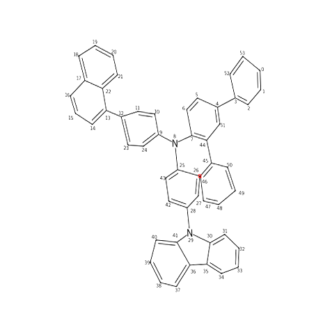 c1ccc(-c2ccc(N(c3ccc(-c4cccc5ccccc45)cc3)c3ccc(-n4c5ccccc5c5ccccc54)cc3)c(-c3ccccc3)c2)cc1